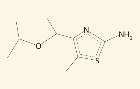 Cc1sc(N)nc1C(C)OC(C)C